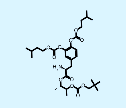 CC(C)CCOC(=O)Oc1ccc(C[C@H](N)C(=O)O[C@@H](C)C(C)OC(=O)OCC(C)(C)C)cc1OC(=O)OCCC(C)C